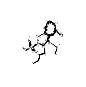 CCCC[C@@H](NS(=O)(=O)O)[C@H](OC)c1c(Cl)cccc1Cl